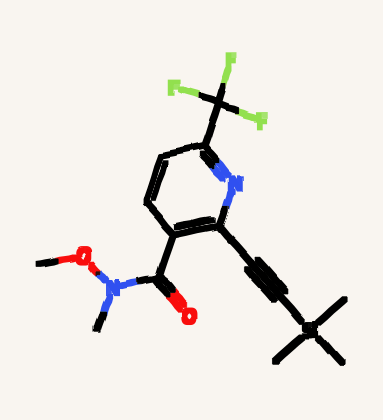 CON(C)C(=O)c1ccc(C(F)(F)F)nc1C#C[Si](C)(C)C